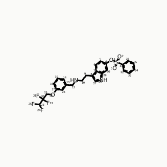 O=S(=O)(Oc1ccc2c(CCNCc3cccc(OCC(F)(F)C(F)F)c3)c[nH]c2c1)c1ccccc1